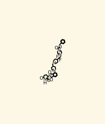 O=C1CCC(N2C(=O)c3cccc(N4CCC(CN5CCC(C(F)(F)CN6CCN(C(=O)OCc7ccccc7)CC6)CC5)CC4)c3C2=O)C(=O)N1